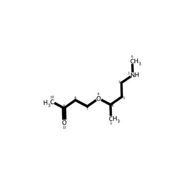 CNCCC(C)OCCC(C)=O